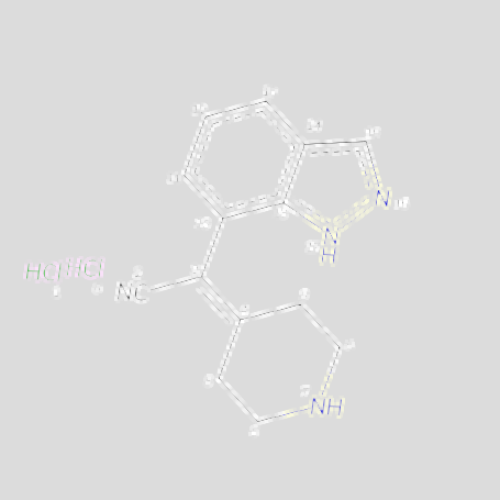 Cl.Cl.N#CC(=C1CCNCC1)c1cccc2cn[nH]c12